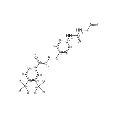 C=CCNC(=S)Nc1ccc(CCOC(=O)c2ccc3c(c2)C(C)(C)CCC3(C)C)cc1